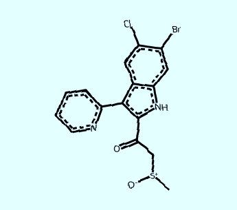 C[S+]([O-])CC(=O)c1[nH]c2cc(Br)c(Cl)cc2c1-c1ccccn1